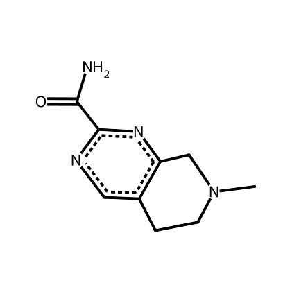 CN1CCc2cnc(C(N)=O)nc2C1